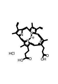 C=CC1=C(C)C2=NC/1=C\c1c(C)c(C=C)c3[n]1[Fe][n]1/c(c(C)c(CCC(=O)O)/c1=C/C1=NC(=C\3)/C(C)=C1CCC(=O)O)=C\2.Cl